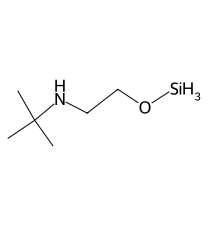 CC(C)(C)NCCO[SiH3]